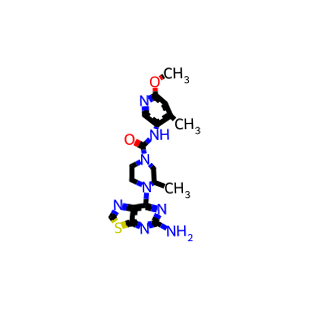 COc1cc(C)c(NC(=O)N2CCN(c3nc(N)nc4scnc34)C(C)C2)cn1